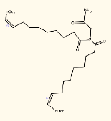 CCCCCCCC/C=C\CCCCCCCC(=O)P(CC(N)=O)C(=O)CCCCCCC/C=C\CCCCCCCC